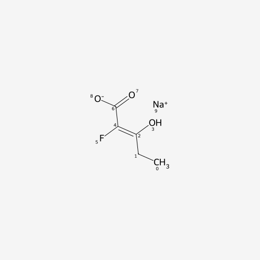 CC/C(O)=C(\F)C(=O)[O-].[Na+]